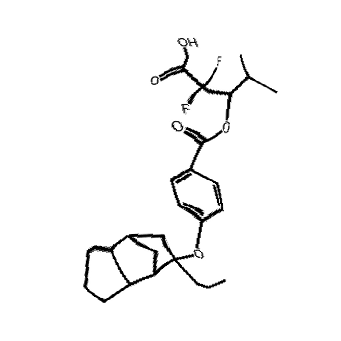 CCC1(Oc2ccc(C(=O)OC(C(C)C)C(F)(F)C(=O)O)cc2)CC2CC1C1CCCC21